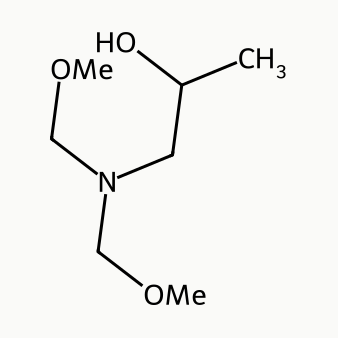 COCN(COC)CC(C)O